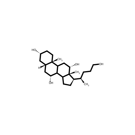 C[C@H](CCCO)[C@H]1CCC2C3C(C[C@H](O)[C@@]21C)[C@@]1(C)CC[C@@H](O)C[C@H]1C[C@H]3O